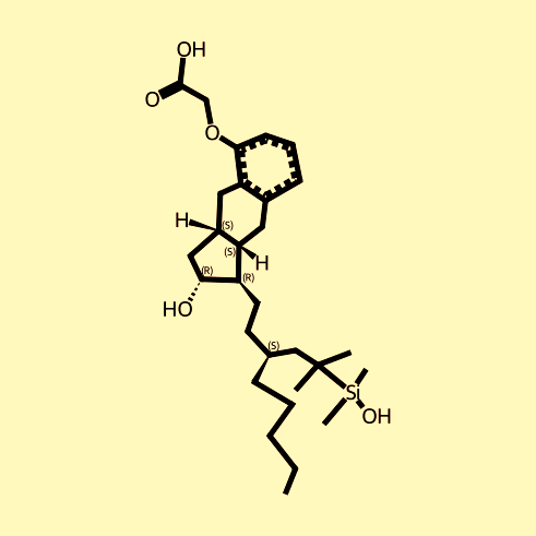 CCCCC[C@@H](CC[C@@H]1[C@H]2Cc3cccc(OCC(=O)O)c3C[C@H]2C[C@H]1O)CC(C)(C)[Si](C)(C)O